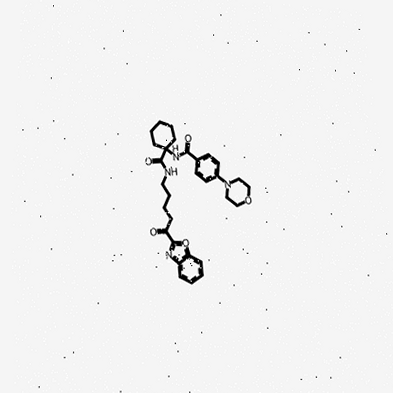 O=C(NC1(C(=O)NCCCCC(=O)c2nc3ccccc3o2)CCCCC1)c1ccc(N2CCOCC2)cc1